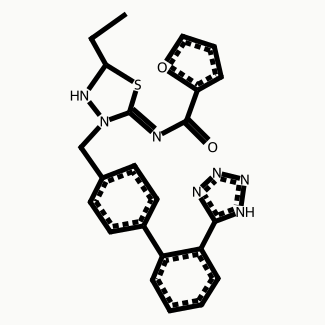 CCC1NN(Cc2ccc(-c3ccccc3-c3nnn[nH]3)cc2)C(=NC(=O)c2ccco2)S1